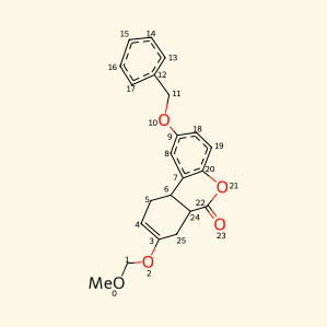 COCOC1=CCC2c3cc(OCc4ccccc4)ccc3OC(=O)C2C1